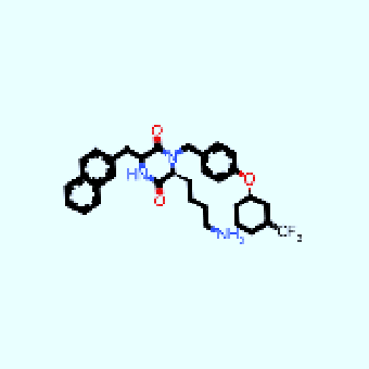 NCCCC[C@H]1C(=O)NC(Cc2ccc3ccccc3c2)C(=O)N1Cc1ccc(O[C@H]2CCCC(C(F)(F)F)C2)cc1